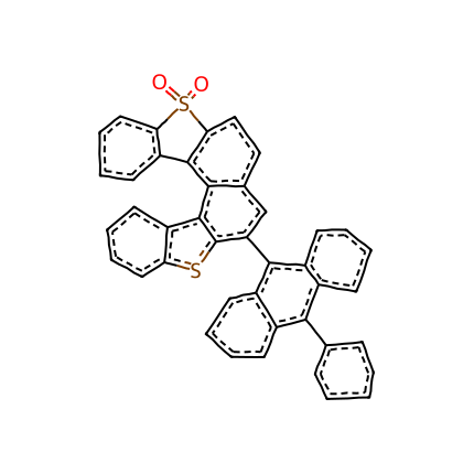 O=S1(=O)c2ccccc2-c2c1ccc1cc(-c3c4ccccc4c(-c4ccccc4)c4ccccc34)c3sc4ccccc4c3c21